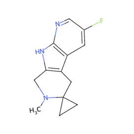 CN1Cc2[nH]c3ncc(F)cc3c2CC12CC2